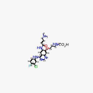 CN(C)CC=CC(=O)Nc1cc2c(Nc3ccc(F)c(Cl)c3)ncnc2cc1OCCCNC(=O)O